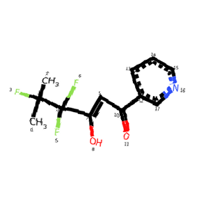 CC(C)(F)C(F)(F)/C(O)=C/C(=O)c1cccnc1